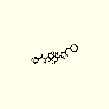 O=C(N[C@H]1CO[C@@H]2C(n3cc(CC4CCCCC4)nn3)CO[C@H]12)c1ccoc1